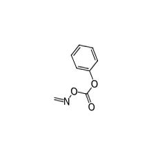 C=NOC(=O)Oc1ccccc1